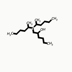 CCCCC(O)CN(C(C)CCCC)C(C)CCCC